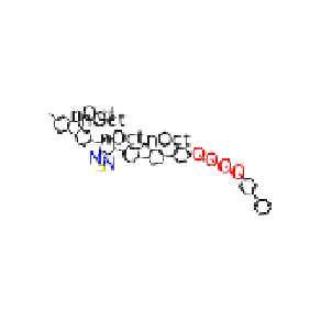 CCCCCCCCC1(CCCCCCCC)c2cc(C)ccc2-c2ccc(-c3ccc(-c4ccc5c(c4)C(CCCCCCCC)(CCCCCCCC)c4cc(-c6ccc(OCOCOCOc7ccc(-c8ccccc8)cc7)cc6)ccc4-5)c4nsnc34)cc21